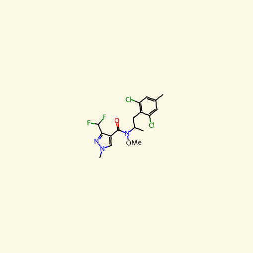 CON(C(=O)c1cn(C)nc1C(F)F)C(C)Cc1c(Cl)cc(C)cc1Cl